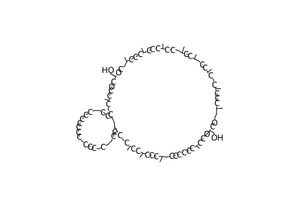 CC1CCCC(C)CCCC(C)CCC(C)CCCC(C)CCCC(C)CCCC(C)CCOC(CO)COCCC(C)CCCC2CCCCCCCCCCCCCCCCCCCCCC(C2)C(C)CCCC(C)CCC(C)CCCC(C)CCCCCCCC(C)CCOC(CO)COCCC(C)CCC1